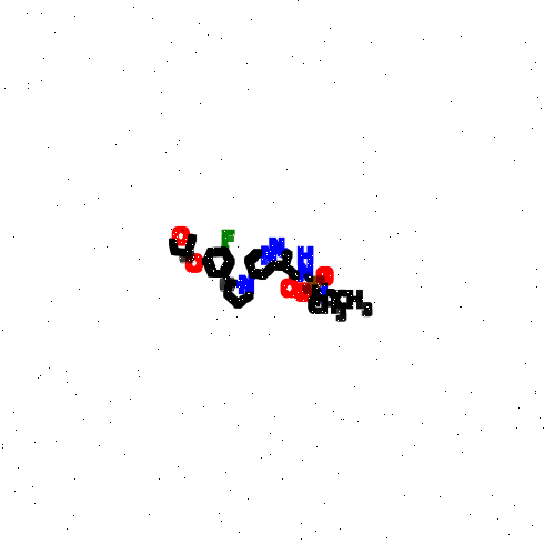 CCN(C)S(=O)(=O)NC(=O)c1cnn2ccc(N3CCC[C@@H]3c3cc(F)cc(O[C@H]4CCOC4)c3)cc12